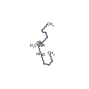 CCCCC/C=C\C/C=C\C/C=C\CCCCC(=O)NCCCC[C@H](NC(=O)CCCC/C=C\C/C=C\C/C=C\CCCCC)C(C)C